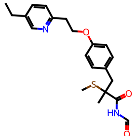 CCc1ccc(CCOc2ccc(CC(C)(SC)C(=O)NC=O)cc2)nc1